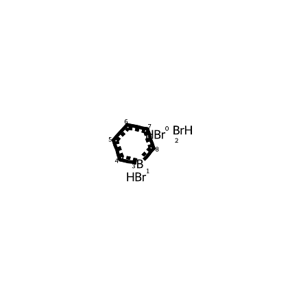 Br.Br.Br.b1ccccc1